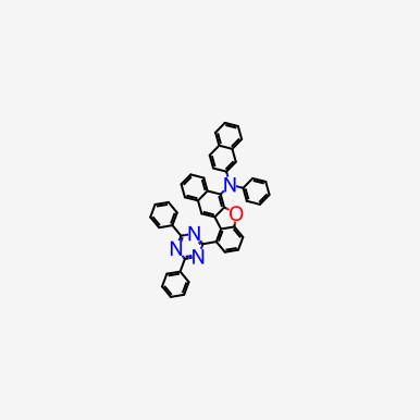 c1ccc(-c2nc(-c3ccccc3)nc(-c3cccc4oc5c(N(c6ccccc6)c6ccc7ccccc7c6)c6ccccc6cc5c34)n2)cc1